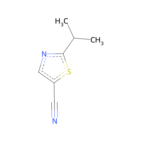 CC(C)c1ncc(C#N)s1